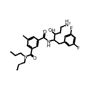 CCCN(CCC)C(=O)c1cc(C)cc(C(=O)NC(Cc2cc(F)cc(F)c2)C(O)CCN)c1